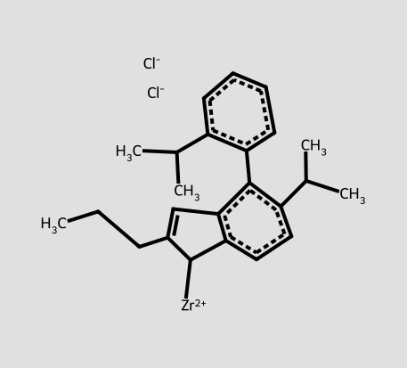 CCCC1=Cc2c(ccc(C(C)C)c2-c2ccccc2C(C)C)[CH]1[Zr+2].[Cl-].[Cl-]